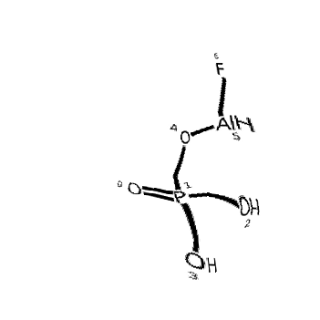 O=P(O)(O)[O][AlH][F]